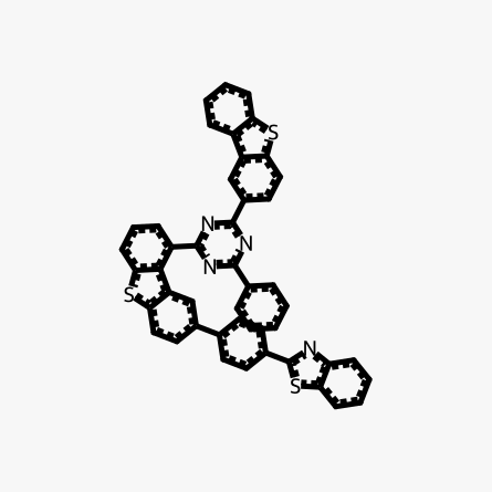 c1ccc(-c2nc(-c3ccc4sc5ccccc5c4c3)nc(-c3cccc4sc5ccc(-c6ccc(-c7nc8ccccc8s7)cc6)cc5c34)n2)cc1